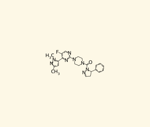 Cc1cc(-c2nc(N3CCN(C(=O)N4N=CCC4c4ccccc4)CC3)ncc2F)n(C)n1